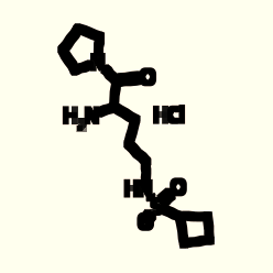 Cl.NC(CCCNS(=O)(=O)C1CCC1)C(=O)N1CCCC1